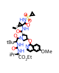 C=C[C@@H]1C[C@]1(NC(=O)[C@@H]1C[C@@H](Oc2nccc3cc(OC)ccc23)CN1C(=O)C(NC(=O)N[C@H](C(=O)OCC)C(C)C)C(C)(C)C)C(=O)NS(=O)(=O)C1CC1